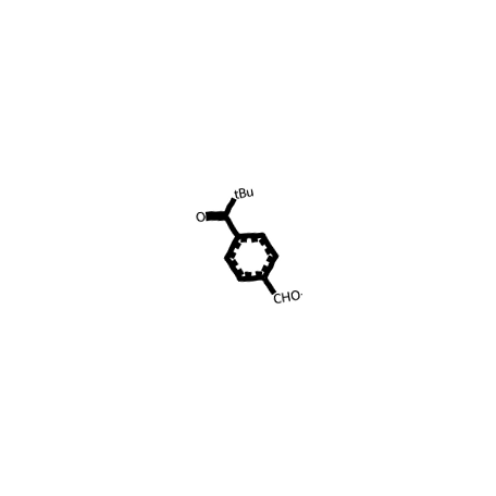 CC(C)(C)C(=O)c1ccc([C]=O)cc1